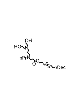 CCCCCCCCCCCCSSSCCOC(=O)CCN(CCC)CCCN(CCO)CCO